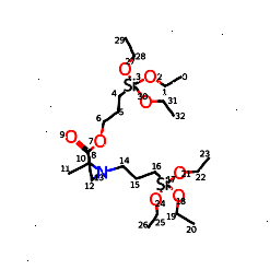 CCO[Si](CCCOC(=O)C1(C)CN1CCC[Si](OCC)(OCC)OCC)(OCC)OCC